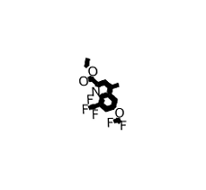 CCOC(=O)c1cc(C)c2cc(OC(F)F)cc(C(F)(F)F)c2n1